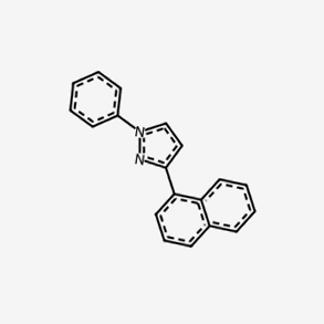 c1ccc(-n2ccc(-c3cccc4ccccc34)n2)cc1